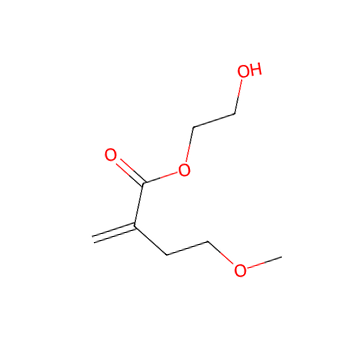 C=C(CCOC)C(=O)OCCO